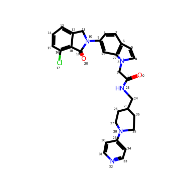 O=C(Cn1ccc2ccc(N3Cc4cccc(Cl)c4C3=O)cc21)NCC1CCN(c2ccncc2)CC1